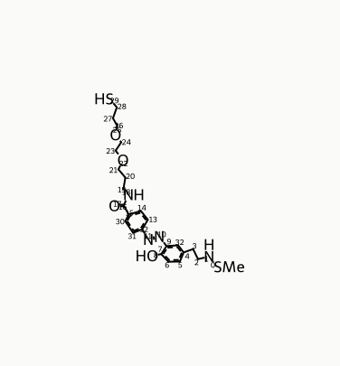 CSNCCc1ccc(O)c(/N=N/c2ccc(C(=O)NCCCOCCOCCCS)cc2)c1